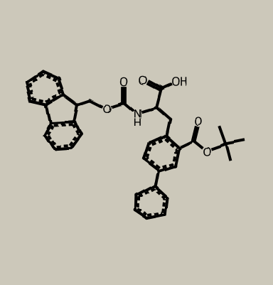 CC(C)(C)OC(=O)c1cc(-c2ccccc2)ccc1CC(NC(=O)OCC1c2ccccc2-c2ccccc21)C(=O)O